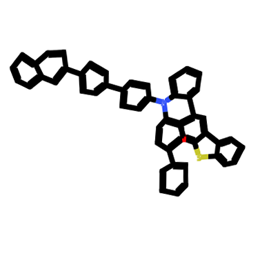 c1ccc(-c2ccc(N(c3ccc(-c4ccc(-c5ccc6ccccc6c5)cc4)cc3)c3ccccc3-c3ccc4sc5ccccc5c4c3)cc2)cc1